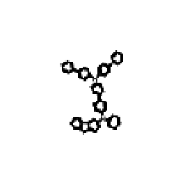 C1=CCCC(N(c2ccc(-c3ccc(N(c4ccc(-c5ccccc5)cc4)c4ccc(-c5ccccc5)cc4)cc3)cc2)c2ccc3c(c2)-c2ccccc2C3)=C1